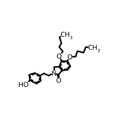 CCCCCOc1ccc2c(c1OCCCCC)CN(CCc1ccc(O)cc1)C2=O